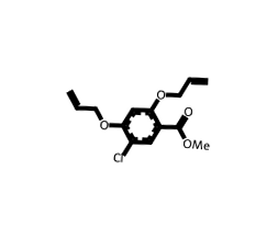 C=CCOc1cc(OCC=C)c(C(=O)OC)cc1Cl